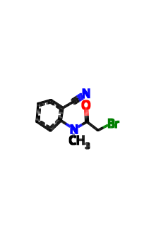 CN(C(=O)CBr)c1ccccc1C#N